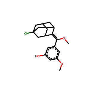 COC(=C1C2CC3CC1CC(Cl)(C3)C2)c1cc(O)cc(OC)c1